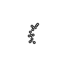 CC1(C)c2cc3ccccc3cc2-c2c1c1ccc(-c3cccc(-c4c5ccccc5c(-c5ccc6c(c5)c5ccccc5n6-c5ccccc5)c5ccccc45)c3)cc1c1ccccc21